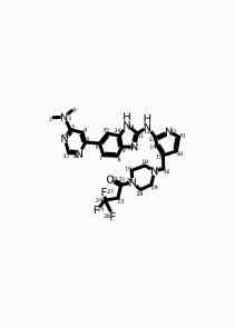 CN(C)c1cc(-c2ccc3nc(Nc4cc(CN5CCN(C(=O)CC(F)(F)F)CC5)ccn4)[nH]c3c2)ncn1